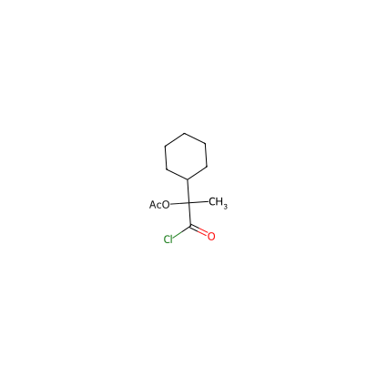 CC(=O)OC(C)(C(=O)Cl)C1CCCCC1